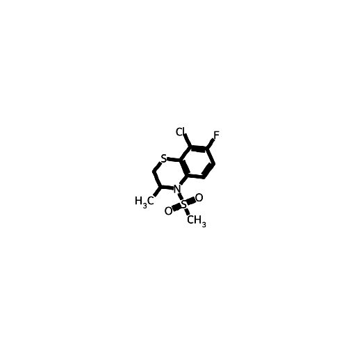 CC1CSc2c(ccc(F)c2Cl)N1S(C)(=O)=O